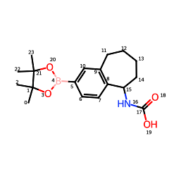 CC1(C)OB(c2ccc3c(c2)CCCCC3NC(=O)O)OC1(C)C